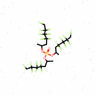 CC(CC(F)(F)C(F)(F)C(F)(F)CF)OP(=O)(OC(C)CC(F)(F)C(F)(F)C(F)(F)CF)OC(C)CC(F)(F)C(F)(F)C(F)(F)CF